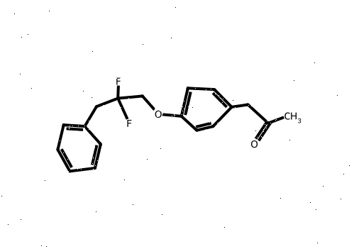 CC(=O)Cc1ccc(OCC(F)(F)Cc2ccccc2)cc1